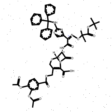 CC(=O)Oc1ccc(C(=O)OCC2=C(C(=O)O)N3C(=O)[C@@H](NC(=O)/C(=N\OC(C)(C)C(=O)OC(C)(C)C)c4csc(NC(c5ccccc5)(c5ccccc5)c5ccccc5)n4)[C@H]3SC2)cc1OC(C)=O